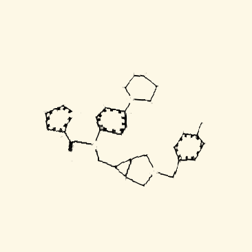 CCc1ccc(CN2CC3C(C2)C3CN(C(=O)c2cccs2)c2ccc(N3CCCCC3)cc2)cc1